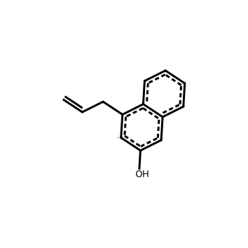 C=CCc1[c]c(O)cc2ccccc12